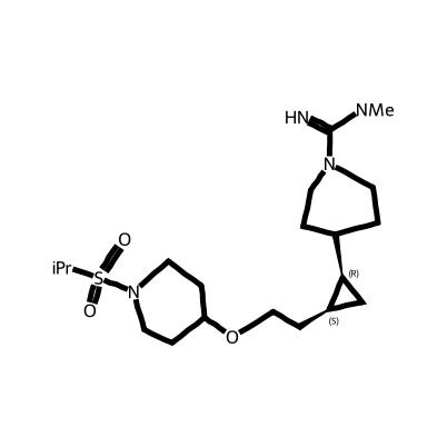 CNC(=N)N1CCC([C@H]2C[C@H]2CCOC2CCN(S(=O)(=O)C(C)C)CC2)CC1